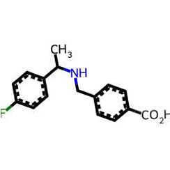 CC(NCc1ccc(C(=O)O)cc1)c1ccc(F)cc1